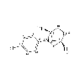 Ic1ccc(N2C[C@@H]3C[C@H]2CO3)cc1